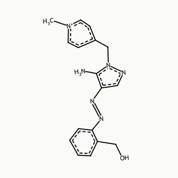 C[n+]1ccc(Cn2ncc(/N=N/c3ccccc3CO)c2N)cc1